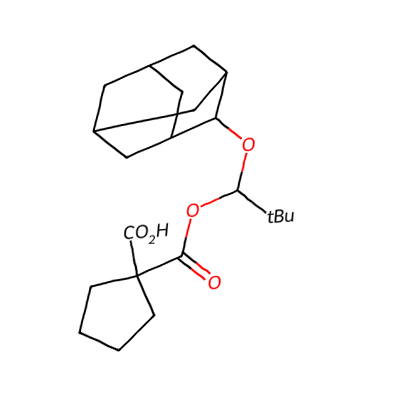 CC(C)(C)C(OC(=O)C1(C(=O)O)CCCC1)OC1C2CC3CC(C2)CC1C3